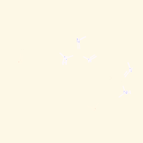 COCC(C)Nc1ncc(-c2ccnc(Nc3cccc(C(C)=O)c3)n2)s1